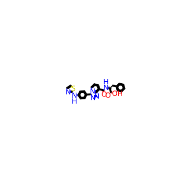 O=C(N[C@@H](Cc1ccccc1)C(=O)O)c1cccn2c(-c3ccc(Nc4nccs4)cc3)nnc12